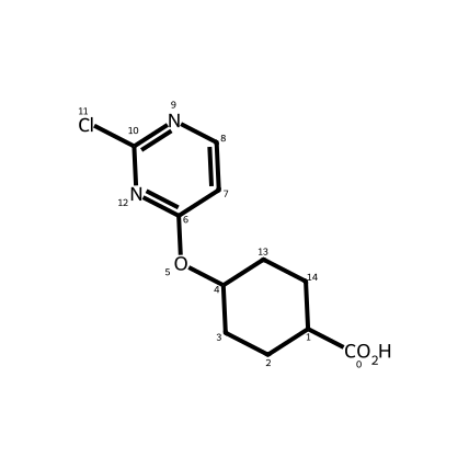 O=C(O)C1CCC(Oc2ccnc(Cl)n2)CC1